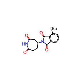 CC(C)(C)c1cccc2c1C(=O)N(C1CCC(=O)NC(=O)C1)C2=O